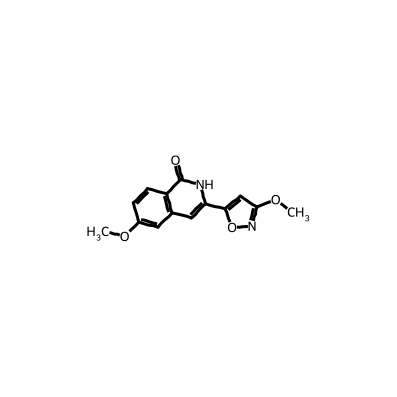 COc1ccc2c(=O)[nH]c(-c3cc(OC)no3)cc2c1